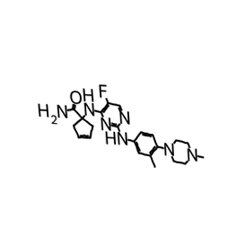 Cc1cc(Nc2ncc(F)c(NC3(C(N)=O)CC=CC3)n2)ccc1N1CCN(C)CC1